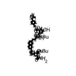 Cc1ncsc1-c1ccc(CNC(=O)[C@@H]2C[C@@H](O)CN2C(=O)[C@@H](NC(=O)CCc2ccc3ccc(CO[C@H](C)[C@H](CCC(N)=O)NC(=O)OC(C)(C)C)cc3c2)C(C)(C)C)cc1